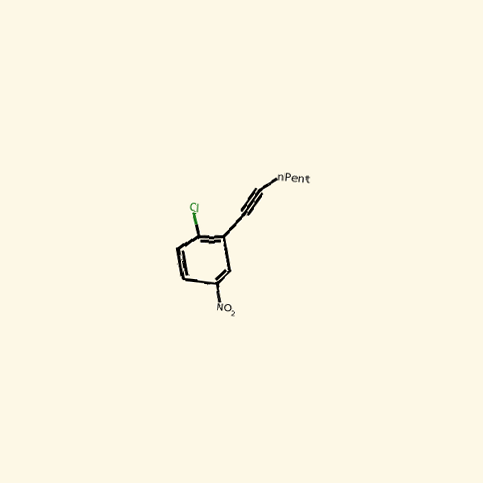 CCCCCC#Cc1cc([N+](=O)[O-])ccc1Cl